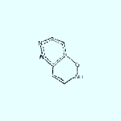 C1=Cc2nnccc2ON1